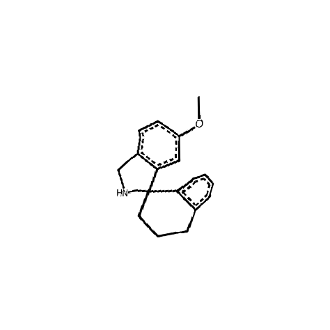 COc1ccc2c(c1)C1(CCCc3ccccc31)NC2